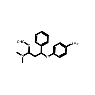 CSc1ccc(OC(CC(OC=O)N(C)C)c2ccccc2)cc1